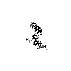 Cc1ccc(NC(=O)C2(c3ccc4c(c3)OC(F)(F)O4)CC2)nc1-c1cccc(N(N)C(N)=O)c1